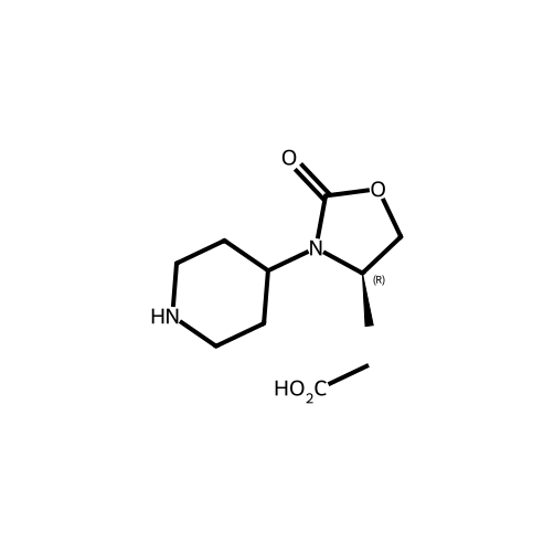 CC(=O)O.C[C@@H]1COC(=O)N1C1CCNCC1